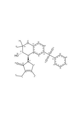 CCC1=C(C)CN([C@@H]2c3cc(S(=O)(=O)c4ccccc4)ccc3OC(C)(C)[C@H]2O)C1=O